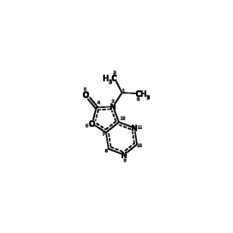 CC(C)n1c(=O)oc2cncnc21